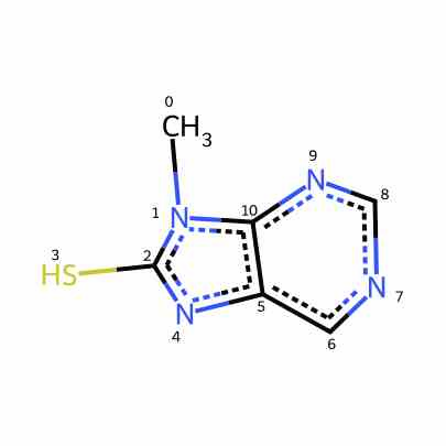 Cn1c(S)nc2cncnc21